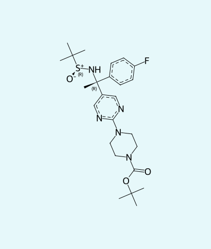 CC(C)(C)OC(=O)N1CCN(c2ncc([C@](C)(N[S@@+]([O-])C(C)(C)C)c3ccc(F)cc3)cn2)CC1